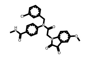 CNC(=O)c1ccc(N(Cc2cccc(Cl)c2)C(=O)CN2C(=O)C(=O)c3cc(OC)ccc32)cc1